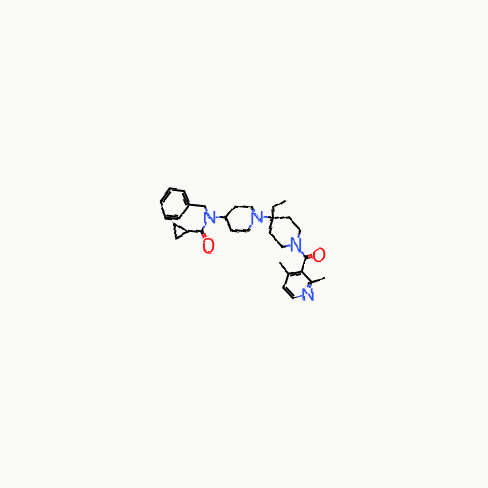 CCC1(N2CCC(N(Cc3ccccc3)C(=O)C3CC3)CC2)CCN(C(=O)c2c(C)ccnc2C)CC1